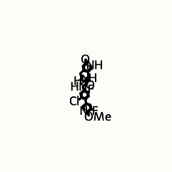 COc1ncc(-c2cc(F)c(NC(=O)N3[C@H]4CC[C@@H]3c3c[nH]c(=O)cc3C4)cc2Cl)cc1F